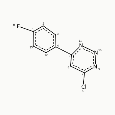 Fc1ccc(-c2cc(Cl)nnn2)cc1